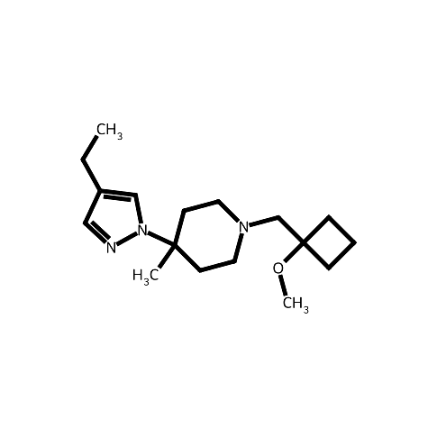 CCc1cnn(C2(C)CCN(CC3(OC)CCC3)CC2)c1